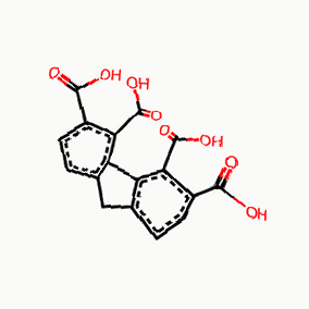 O=C(O)c1ccc2c(c1C(=O)O)-c1c(ccc(C(=O)O)c1C(=O)O)C2